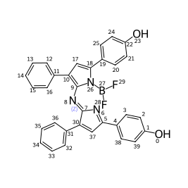 Oc1ccc(C2=N/C(=N\c3c(-c4ccccc4)cc(-c4ccc(O)cc4)n3B(F)F)C(c3ccccc3)=C2)cc1